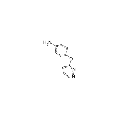 Nc1ccc(Oc2cccnn2)cc1